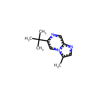 Cc1cnc2cnc(C(C)(C)C)cn12